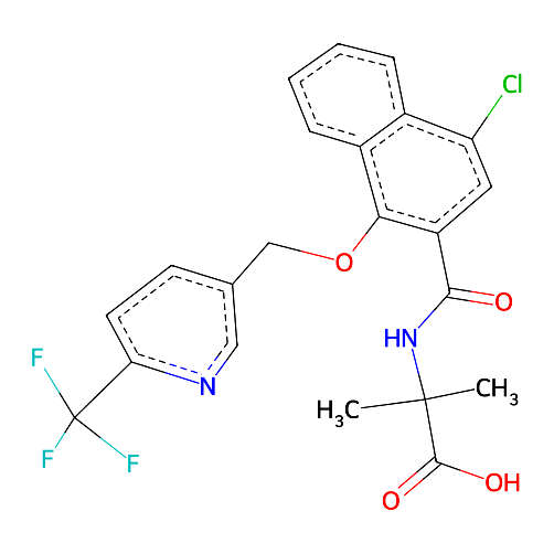 CC(C)(NC(=O)c1cc(Cl)c2ccccc2c1OCc1ccc(C(F)(F)F)nc1)C(=O)O